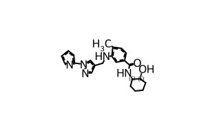 Cc1ccc(C(=O)N[C@H]2CCCC[C@@H]2O)cc1NCc1cnn(-c2ccccn2)c1